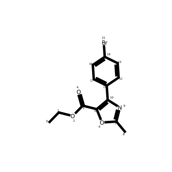 CCOC(=O)c1oc(C)nc1-c1ccc(Br)cc1